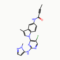 CC#CC(=O)Nc1ccc2c(c1)c(C)cn2-c1nc(Nc2ccnn2C)ncc1F